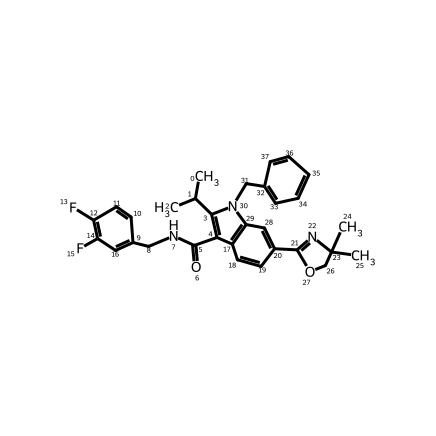 CC(C)c1c(C(=O)NCc2ccc(F)c(F)c2)c2ccc(C3=NC(C)(C)CO3)cc2n1Cc1ccccc1